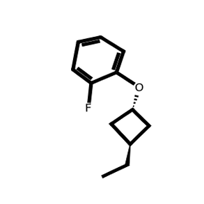 CC[C@H]1C[C@H](Oc2ccccc2F)C1